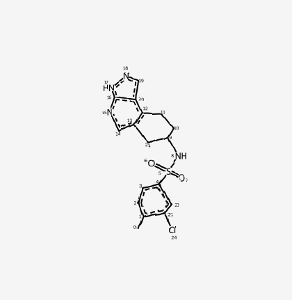 Cc1ccc(S(=O)(=O)NC2CCc3c(cnc4[nH]ncc34)C2)cc1Cl